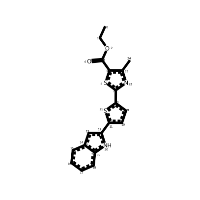 CCOC(=O)c1sc(-c2ccc(-c3cc4ccccc4[nH]3)s2)nc1C